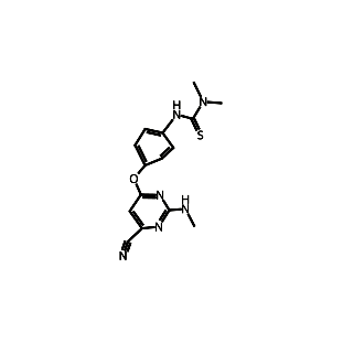 CNc1nc(C#N)cc(Oc2ccc(NC(=S)N(C)C)cc2)n1